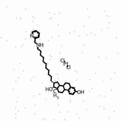 C[C@]12CCC3c4ccc(O)cc4CCC3C1C[C@H](CCCCCCCCCCCNCc1ccccn1)[C@@H]2O.[Cl][Pt][Cl]